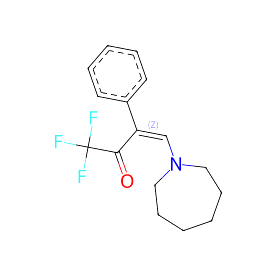 O=C(/C(=C\N1CCCCCC1)c1ccccc1)C(F)(F)F